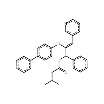 CC(C)CC(=O)OC(C(=Cc1cccnc1)Oc1ccc(-c2ccccc2)cc1)c1ccccc1